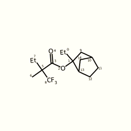 CCC1(OC(=O)C(C)(CC)C(F)(F)F)CC2CCC1C2